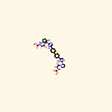 COC(=O)N[C@@H](C)C(=O)N1[C@@H]2CC[C@@H](C2)[C@H]1c1ncc(-c2ccc3c(c2)sc2cc(-c4cnc([C@@H]5CCCN5C(=O)[C@H](C)N(C)C(=O)OC)[nH]4)ccc23)[nH]1